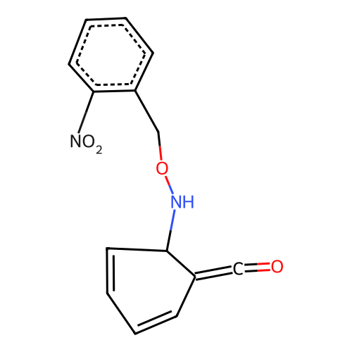 O=C=C1C=CC=CC1NOCc1ccccc1[N+](=O)[O-]